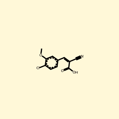 COc1cc(C=C(C#N)C(=O)O)ccc1Cl